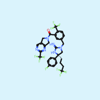 N=C1N[C@](CCCC(F)(F)F)(c2ccc(F)cc2)CN1Cc1ccc(C(F)(F)F)c(C(=O)N2Cc3cnc(C(F)(F)F)nc3C2)c1